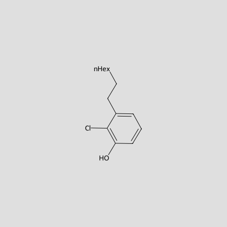 CCCCCCCCc1cccc(O)c1Cl